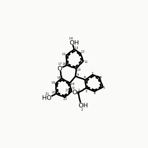 O=C(O)c1ccccc1C1c2ccc(O)cc2Oc2cc(O)ccc21